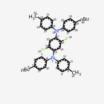 CCCCc1ccc(N(c2ccc(C)cc2)c2cc(F)c(N(c3ccc(C)cc3)c3ccc(CCCC)cc3)cc2F)cc1